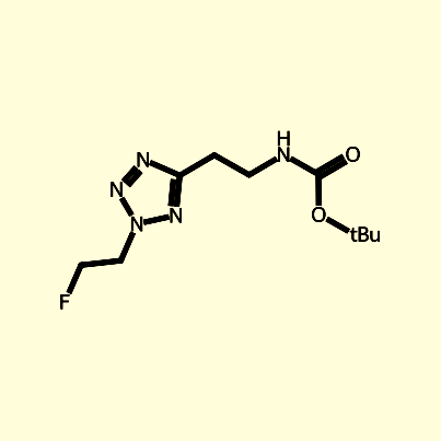 CC(C)(C)OC(=O)NCCc1nnn(CCF)n1